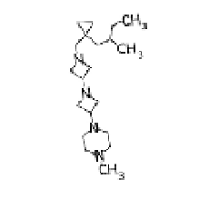 CCC(C)CC1(CN2CC(N3CC(N4CCN(C)CC4)C3)C2)CC1